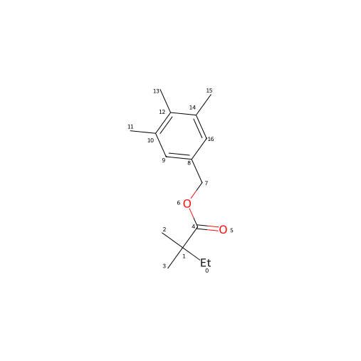 CCC(C)(C)C(=O)OCc1cc(C)c(C)c(C)c1